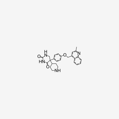 Cc1cc(COc2ccc(C3(C4CCNCC4)CNC(=O)NC3=O)cc2)c2ccccc2n1